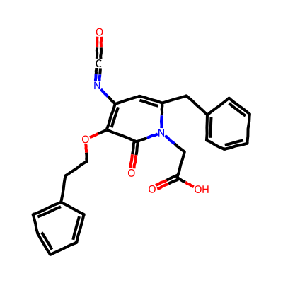 O=C=Nc1cc(Cc2ccccc2)n(CC(=O)O)c(=O)c1OCCc1ccccc1